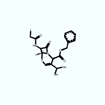 CCCC(O)C1=CS[C@@H]2C(NC(=O)CI)C(=O)N2C1C(=O)OCc1ccccc1